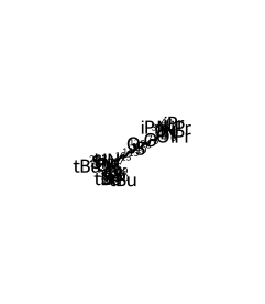 CC(C)N(C(C)C)P(OCCOCCSC(=O)CCCCCNC(CO[Si](C)(C)C(C)(C)C)(CO[Si](C)(C)C(C)(C)C)CO[Si](C)(C)C(C)(C)C)N(C(C)C)C(C)C